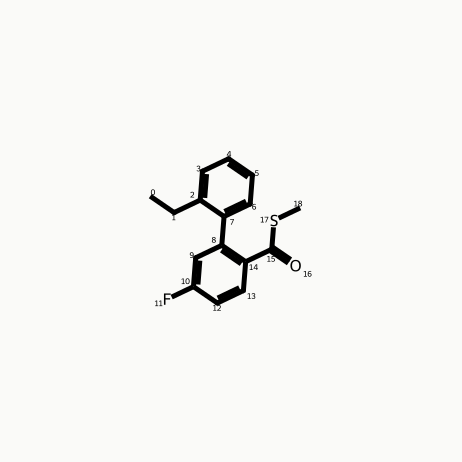 CCc1ccccc1-c1cc(F)ccc1C(=O)SC